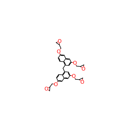 c1cc2c(Cc3cc(OCC4CO4)cc4cc(OCC5CO5)ccc34)cc(OCC3CO3)cc2cc1OCC1CO1